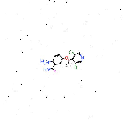 C[C@@H](Oc1ccc(N)c(C(=N)I)c1)c1c(Cl)cncc1Cl